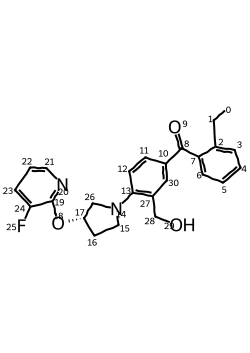 CCc1ccccc1C(=O)c1ccc(N2CC[C@H](Oc3ncccc3F)C2)c(CO)c1